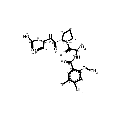 COc1cc(N)c(Cl)cc1C(=O)N[C@@H](C)C(=O)N1CCC[C@H]1C(=O)N[C@H](C=O)CC(=O)O